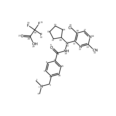 CN(C)Cc1ccc(C(=O)NN(c2nc(C#N)ncc2Cl)C2CCCC2)cc1.O=C(O)C(F)(F)F